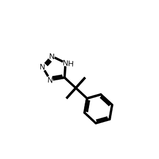 CC(C)(c1ccccc1)c1nnn[nH]1